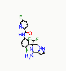 NC1=N[C@@](c2cc(NC(=O)c3ccc(F)cn3)ccc2F)(C(F)F)Cn2nccc21